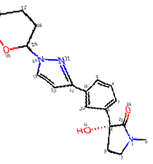 CN1CC[C@@](O)(c2cccc(-c3ccn(C4CCCCO4)n3)c2)C1=O